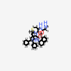 CN[C@@H](C)C(=O)N[C@H]1CCS[C@H]2CC(CCc3ccccc3)(CCc3ccccc3)C(C(=O)NC3CCCc4ccccc43)N2C1=O